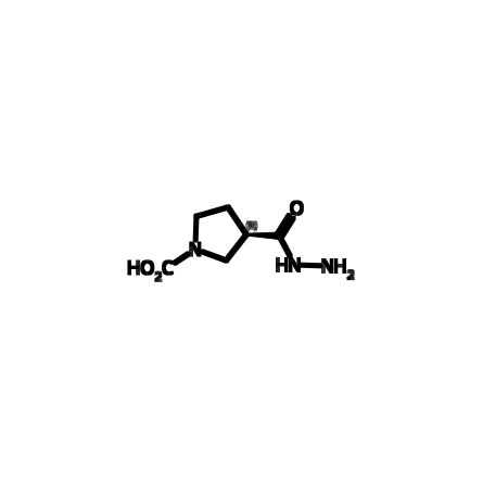 NNC(=O)[C@@H]1CCN(C(=O)O)C1